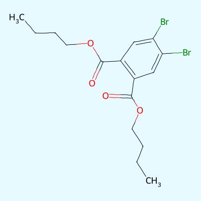 CCCCOC(=O)c1cc(Br)c(Br)cc1C(=O)OCCCC